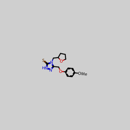 COc1ccc(OCc2n[nH]c(=S)n2CC2CCCO2)cc1